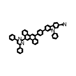 N#Cc1ccc2c3ccc(-c4ccc(-c5cc6c7ccccc7c(-c7nc(-c8ccccc8)cc(-c8ccccc8)n7)cc6c6ccccc56)cc4)cc3n(-c3ccccc3)c2c1